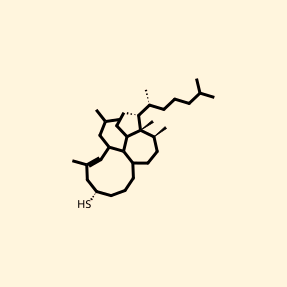 C/C1=C\C(CC(C)C)C2C(CCC[C@H](S)C1)CC[C@H](C)[C@]1(C)C2CC[C@@H]1[C@H](C)CCCC(C)C